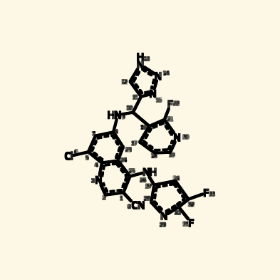 N#Cc1cnc2c(Cl)cc(NC(c3c[nH]nn3)c3cccnc3F)cc2c1Nc1cnc(F)c(F)c1